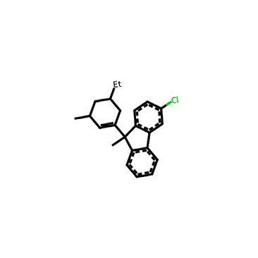 CCC1CC(C2(C)c3ccccc3-c3cc(Cl)ccc32)=CC(C)C1